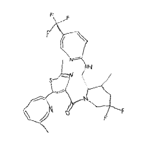 Cc1cccc(-c2sc(C)nc2C(=O)N2CC(F)(F)CC(C)[C@H]2CNc2ccc(C(F)(F)F)cn2)n1